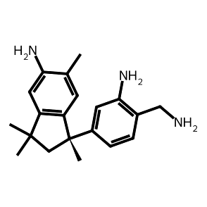 Cc1cc2c(cc1N)C(C)(C)C[C@@]2(C)c1ccc(CN)c(N)c1